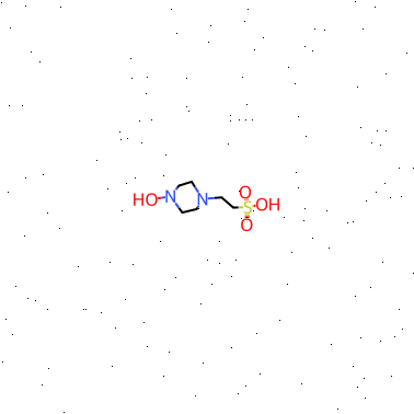 O=S(=O)(O)CCN1CCN(O)CC1